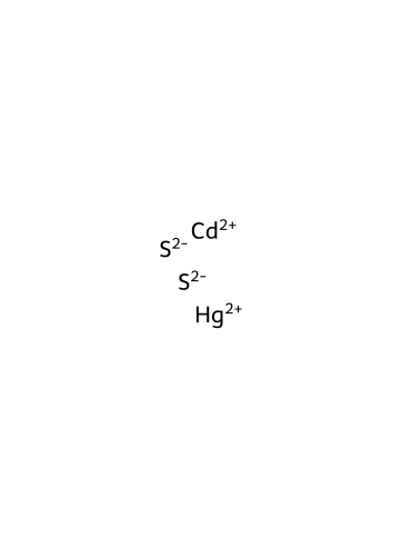 [Cd+2].[Hg+2].[S-2].[S-2]